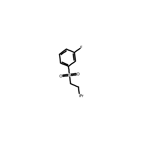 CC(C)CCS(=O)(=O)c1cccc(F)c1